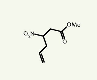 C=CCC(CC(=O)OC)[N+](=O)[O-]